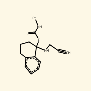 C#CCNC1(OC(=O)NCC)CCCc2ccccc21